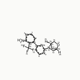 Nc1nccc(-c2ccnc(N3C[C@@H]4C[C@H]3CO4)n2)c1C(F)(F)F